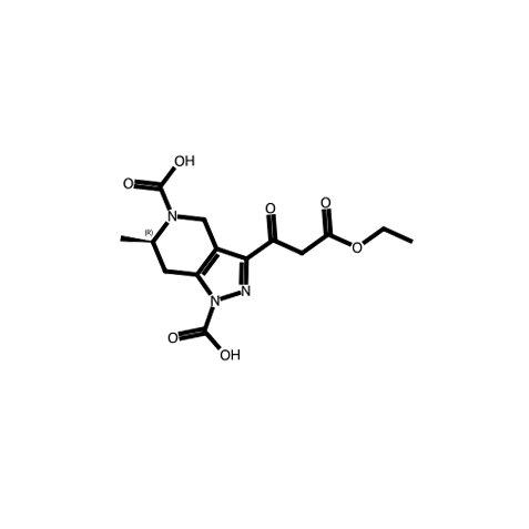 CCOC(=O)CC(=O)c1nn(C(=O)O)c2c1CN(C(=O)O)[C@H](C)C2